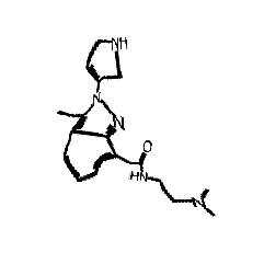 Cc1c2cccc(C(=O)NCCN(C)C)c2nn1C1=CCNC1